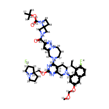 CCc1c(F)ccc2cc(OCOC)cc(N3CCc4c(nc(OC[C@@]56CCCN5C[C@H](F)C6)nc4N4CCCn5nc(C(=O)N6CC7(CCN7C(=O)OC(C)(C)C)C6)cc5C4)C3)c12